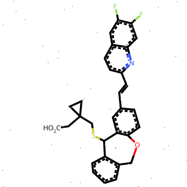 O=C(O)CC1(CSC2c3ccccc3COc3ccc(C=Cc4ccc5cc(F)c(F)cc5n4)cc32)CC1